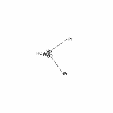 CC(C)CCCCCCCCCCCCCCCOC(=O)CC(O)(CC(=O)O)C(=O)OCCCCCCCCCCCCCCCC(C)C